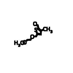 COCCOCc1cc(C)c(C=O)s1